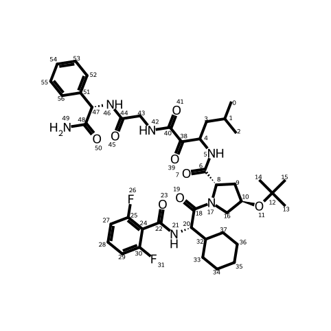 CC(C)CC(NC(=O)[C@@H]1C[C@@H](OC(C)(C)C)CN1C(=O)[C@@H](NC(=O)c1c(F)cccc1F)C1CCCCC1)C(=O)C(=O)NCC(=O)N[C@H](C(N)=O)c1ccccc1